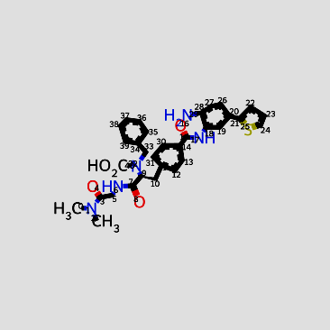 CN(C)C(=O)CNC(=O)[C@H](Cc1ccc(C(=O)Nc2cc(-c3cccs3)ccc2N)cc1)N(Cc1ccccc1)C(=O)O